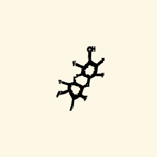 Oc1c(F)c(F)c(Oc2c(F)c(F)c(F)c(F)c2F)c(F)c1F